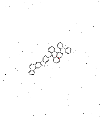 CC1(C)c2cc(N(c3ccccc3)c3ccccc3-c3ccccc3-c3ccccc3-c3ccccc3)ccc2-c2cc3ccc4ccccc4c3cc21